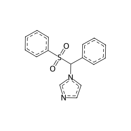 O=S(=O)(c1ccccc1)C(c1ccccc1)n1ccnc1